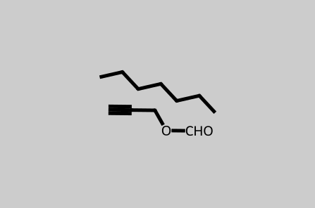 C#CCOC=O.CCCCCCC